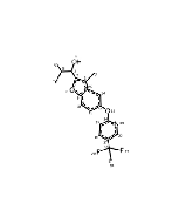 Cc1c(C(O)C(C)C)oc2ccc(Oc3ccc(C(F)(F)F)cn3)cc12